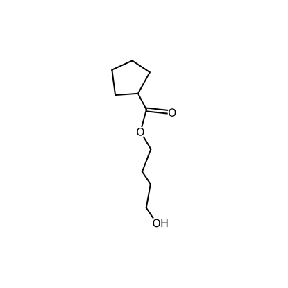 O=C(OCCCCO)C1CCCC1